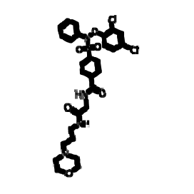 O=C(CNC(=O)c1ccc(S(=O)(=O)N(Oc2ccc(Cl)cc2Cl)c2ccccc2)cc1)NCCCN1CCOCC1